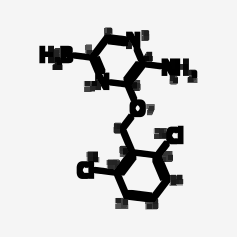 Bc1cnc(N)c(OCc2c(Cl)cccc2Cl)n1